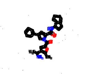 Cc1oc(C(=O)N2CC(c3ccccc3)CC2C(=O)NC2CCc3ccccc32)cc1C(C)N